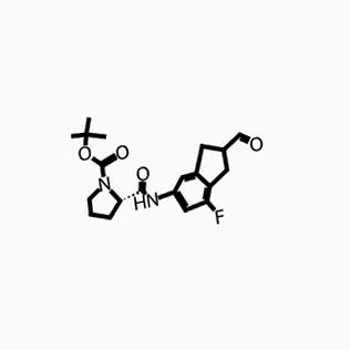 CC(C)(C)OC(=O)N1CCC[C@H]1C(=O)Nc1cc(F)c2c(c1)CC(C=O)C2